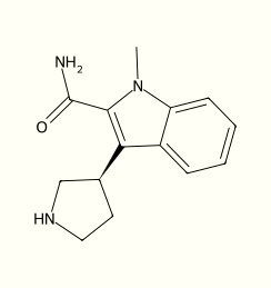 Cn1c(C(N)=O)c([C@H]2CCNC2)c2ccccc21